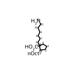 CCCCCCCC[C@H]1CCC[C@@]1(CCCCCCN)C(=O)O